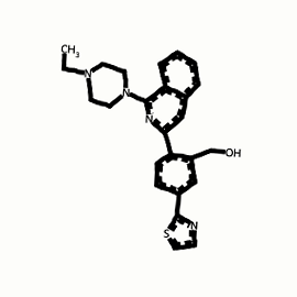 CCN1CCN(c2nc(-c3ccc(-c4nccs4)cc3CO)cc3ccccc23)CC1